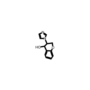 OC1c2ccccc2OCC1n1ccnc1